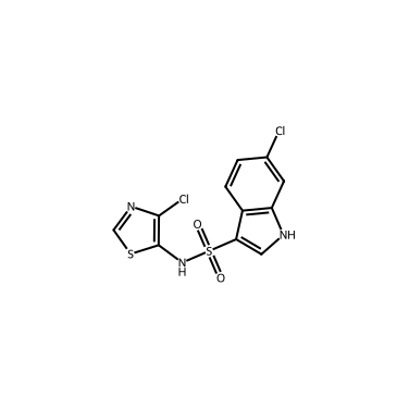 O=S(=O)(Nc1scnc1Cl)c1c[nH]c2cc(Cl)ccc12